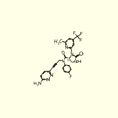 Cc1cc(C(F)(F)F)cc(N2C(=O)NC[C@H]2C(=O)N(CC#Cc2ccc(N)nn2)c2ccc(F)cc2)n1